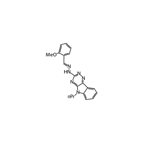 CCCn1c2ccccc2c2nnc(N/N=C/c3ccccc3OC)nc21